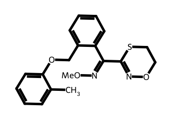 CON=C(C1=NOCCS1)c1ccccc1COc1ccccc1C